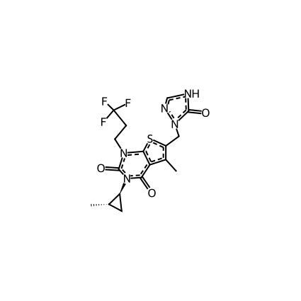 Cc1c(Cn2nc[nH]c2=O)sc2c1c(=O)n([C@H]1C[C@@H]1C)c(=O)n2CCC(F)(F)F